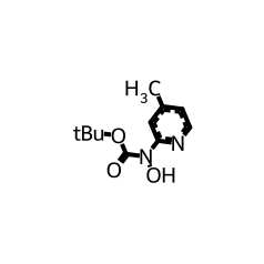 Cc1ccnc(N(O)C(=O)OC(C)(C)C)c1